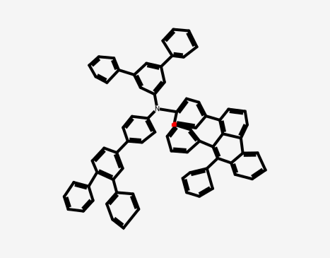 c1ccc(-c2cc(-c3ccccc3)cc(N(c3ccc(-c4ccc(-c5ccccc5)c(-c5ccccc5)c4)cc3)c3ccc(-c4cccc5c4c(-c4ccccc4)c(-c4ccccc4)c4ccccc45)cc3)c2)cc1